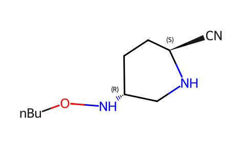 CCCCON[C@@H]1CC[C@@H](C#N)NC1